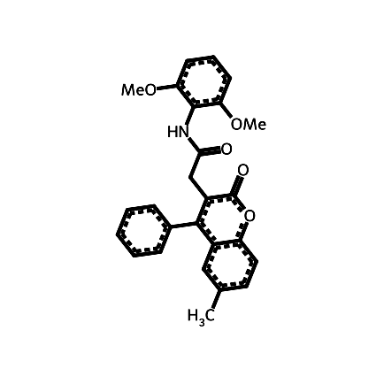 COc1cccc(OC)c1NC(=O)Cc1c(-c2ccccc2)c2cc(C)ccc2oc1=O